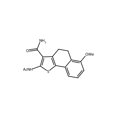 COc1cccc2c1CCc1c-2sc(NC(C)=O)c1C(N)=O